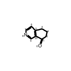 O=C1CCCc2ccncc21